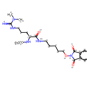 CCOC(=O)N[C@@H](CCCNC(=N)N(C)C)C(=O)NCCCCCON1C(=O)c2ccccc2C1=O